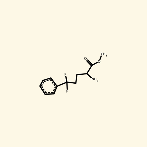 COC(=O)C(N)CCC(F)(F)c1ccccc1